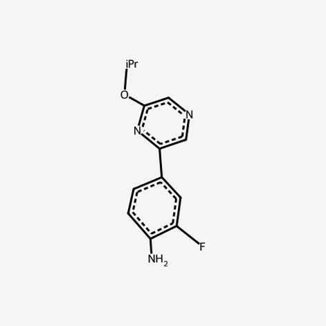 CC(C)Oc1cncc(-c2ccc(N)c(F)c2)n1